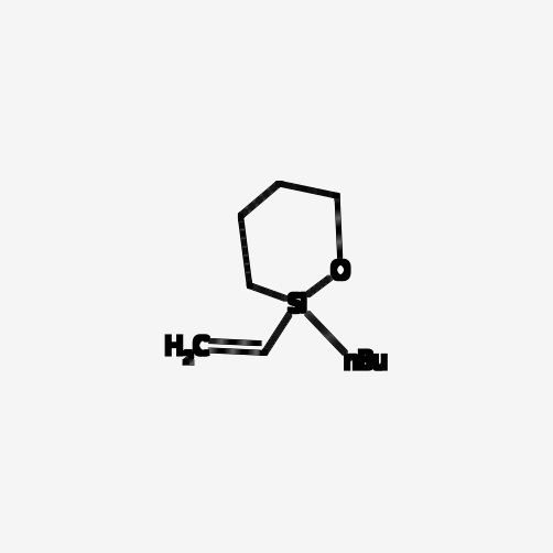 C=C[Si]1(CCCC)CCCCO1